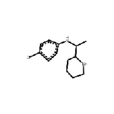 CC(Nc1ccc(Cl)cc1)C1CCCCN1